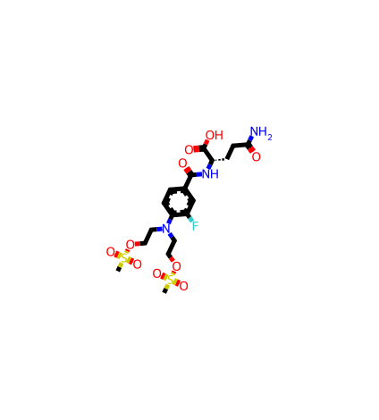 CS(=O)(=O)OCCN(CCOS(C)(=O)=O)c1ccc(C(=O)N[C@@H](CCC(N)=O)C(=O)O)cc1F